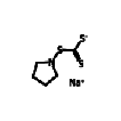 S=C([S-])SN1CCCC1.[Na+]